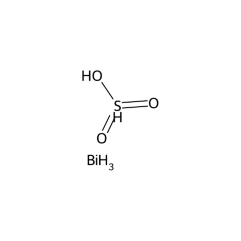 O=[SH](=O)O.[BiH3]